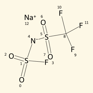 O=S(=O)(F)[N-]S(=O)(=O)C(F)(F)F.[Na+]